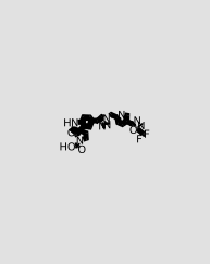 O=C(O)N1CCC2(C1)C(=O)Nc1ccc(-c3cn(Cc4ccc(-c5nnc(C(F)F)o5)cn4)nn3)cc12